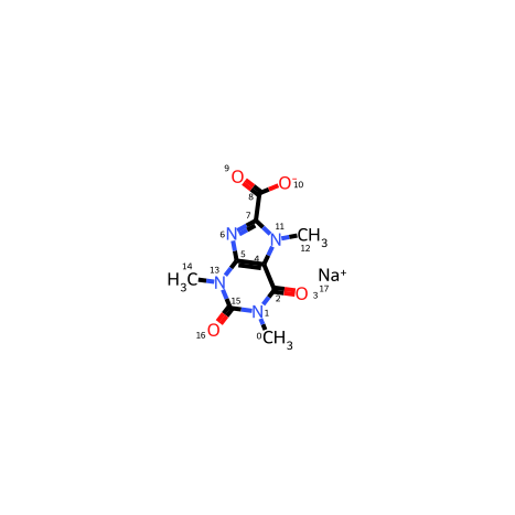 Cn1c(=O)c2c(nc(C(=O)[O-])n2C)n(C)c1=O.[Na+]